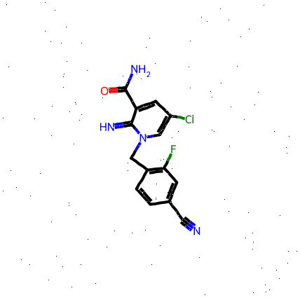 N#Cc1ccc(Cn2cc(Cl)cc(C(N)=O)c2=N)c(F)c1